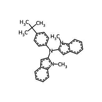 Cn1c(N(c2ccc(C(C)(C)C)cc2)c2cc3ccccc3n2C)cc2ccccc21